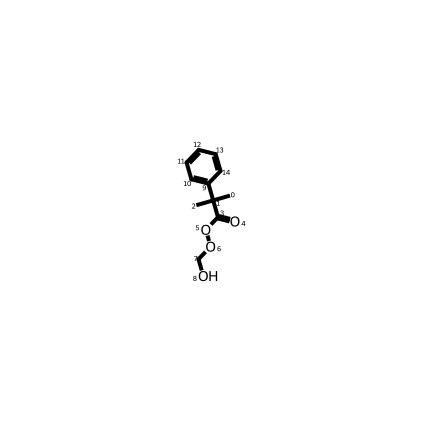 CC(C)(C(=O)OOCO)c1ccccc1